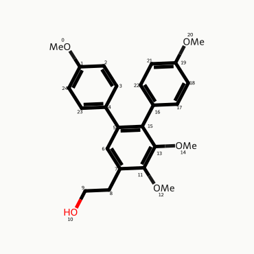 COc1ccc(-c2[c]c(CCO)c(OC)c(OC)c2-c2ccc(OC)cc2)cc1